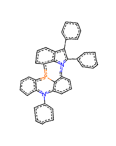 c1ccc(-c2c(-c3ccccc3)n3c4cccc5c4-p(c4ccccc4n5-c4ccccc4)c4cccc2c43)cc1